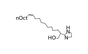 CCCCCCCC/C=C\CCCCCCCCC(CO)C1=NCCN1